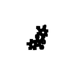 Cc1ccc(C2OC23C(=O)c2ccccc2C3=O)cc1C